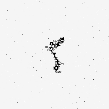 CC[C@@H]1CCN(C(=O)[C@@H](NC(=O)OC2C[C@H]2CCCCC(F)(F)c2nc3ccc(OC)cc3nc2O)C(C)(C)C)[C@@H]1C(=O)NC1(C(=O)NS(=O)(=O)C2(C)CC2)C[C@H]1CC